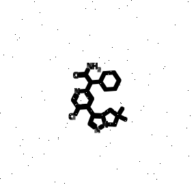 CC1(C)Cc2c(-c3cc(C(C(N)=O)C4CCCCC4)ncc3Cl)cnn2C1